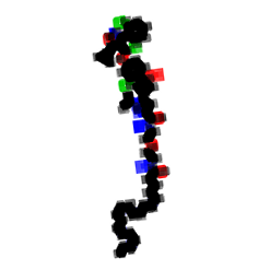 CC/C=C\C/C=C\C/C=C\C/C=C\C/C=C\CCCC(=O)NCCOCCNC(=O)c1cc(C2CC(O)(c3ccc(OCc4c(-c5c(Cl)cccc5Cl)noc4C4CC4)cc3Cl)C2)n(C(C)C)n1